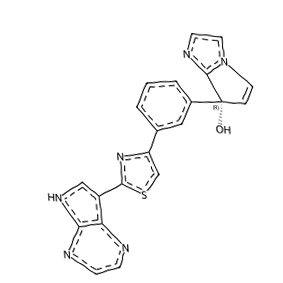 O[C@@]1(c2cccc(-c3csc(-c4c[nH]c5nccnc45)n3)c2)C=Cn2ccnc21